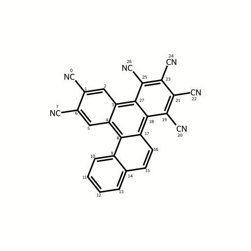 N#Cc1cc2c(cc1C#N)c1c3ccccc3ccc1c1c(C#N)c(C#N)c(C#N)c(C#N)c21